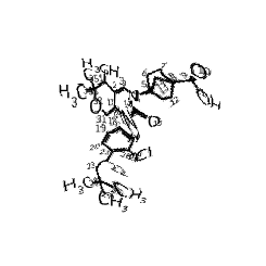 CC1C2=CN(C34CCC(C(=O)O)(C3)C4)C(=O)N[C@@]2(c2ccc(CCC(C)(C)C)c(Cl)c2)COC1(C)C